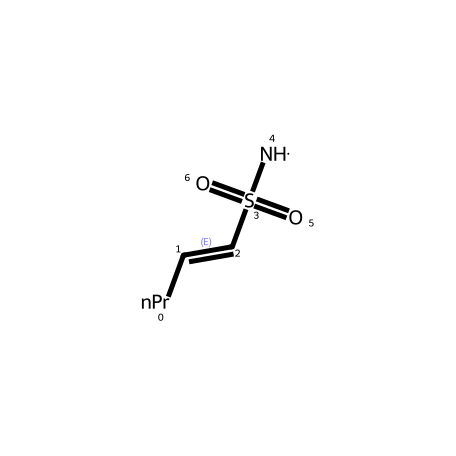 CCC/C=C/S([NH])(=O)=O